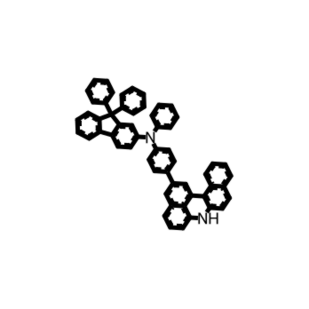 c1ccc(N(c2ccc(-c3cc4c5c(cccc5c3)Nc3ccc5ccccc5c3-4)cc2)c2ccc3c(c2)C(c2ccccc2)(c2ccccc2)c2ccccc2-3)cc1